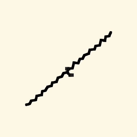 CCCCCCCCCCCCCCCCNC(O)CCCCCCCCCCCCCCC